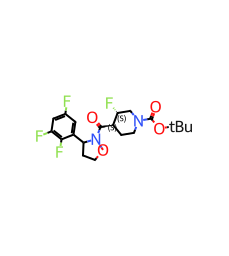 CC(C)(C)OC(=O)N1CC[C@@H](C(=O)N2OCCC2c2cc(F)cc(F)c2F)[C@H](F)C1